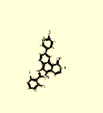 O=c1[nH]ccc2c3[nH]c(-c4c(F)cccc4Cl)nc3c3ccc(-c4ccc(F)nc4)cc3c12